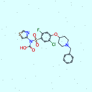 O=C(O)N(c1cscn1)S(=O)(=O)c1cc(Cl)c(OC2CCN(Cc3ccccc3)CC2)cc1F